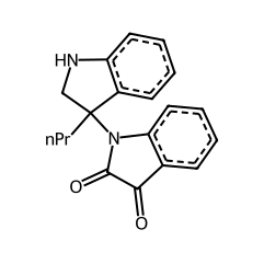 CCCC1(N2C(=O)C(=O)c3ccccc32)CNc2ccccc21